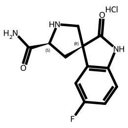 Cl.NC(=O)[C@@H]1C[C@@]2(CN1)C(=O)Nc1ccc(F)cc12